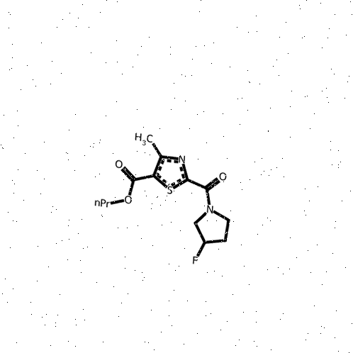 CCCOC(=O)c1sc(C(=O)N2CCC(F)C2)nc1C